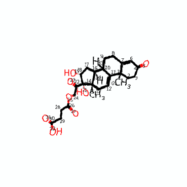 C[C@]12CCC(=O)C=C1CC[C@@H]1C2=CC[C@@]2(C)[C@H]1C[C@@H](O)[C@]2(O)C(=O)COC(=O)CCC(=O)O